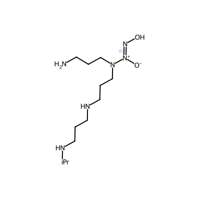 CC(C)NCCCNCCCN(CCCN)/[N+]([O-])=N/O